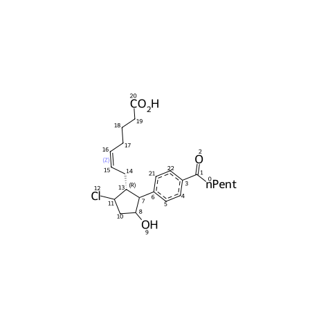 CCCCCC(=O)c1ccc(C2C(O)CC(Cl)[C@@H]2C/C=C\CCCC(=O)O)cc1